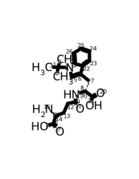 CC(C)(C)n1cc(C[C@@H](NC(=O)CC[C@@H](N)C(=O)O)C(=O)O)c2ccccc21